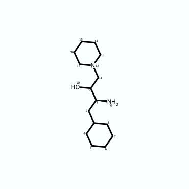 N[C@@H](CC1CCCCC1)C(O)CN1CCCCC1